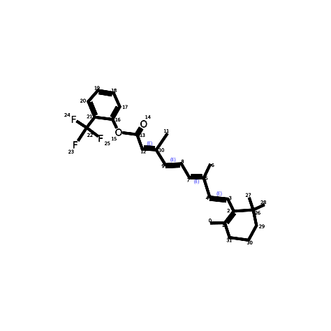 CC1=C(/C=C/C(C)=C/C=C/C(C)=C/C(=O)Oc2ccccc2C(F)(F)F)C(C)(C)CCC1